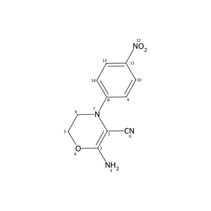 N#CC1=C(N)OCCN1c1ccc([N+](=O)[O-])cc1